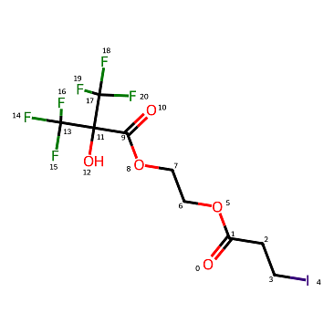 O=C(CCI)OCCOC(=O)C(O)(C(F)(F)F)C(F)(F)F